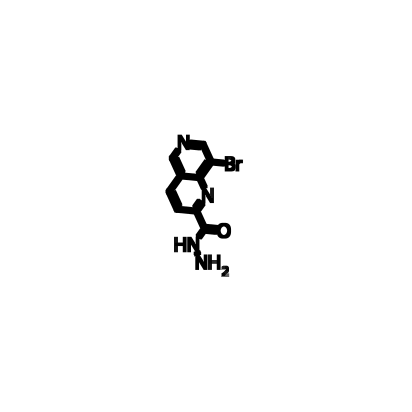 NNC(=O)c1ccc2cncc(Br)c2n1